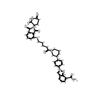 NC(=O)c1cccc2cn(-c3ccc([C@@H]4CCCN(C(=O)CCCCSc5cccc6c5C(=O)N(C5CCC(=O)NC5=O)C6=O)C4)cc3)nc12